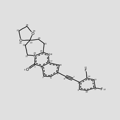 O=c1c2ccc(C#Cc3ccc(F)cc3F)cc2nc2n1CCC1(CC2)OCCO1